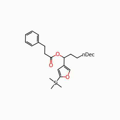 CCCCCCCCCCCCC(OC(=O)CCc1ccccc1)c1coc([Si](C)(C)C)c1